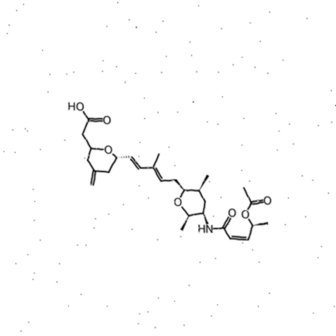 C=C1CC(CC(=O)O)O[C@H](/C=C/C(C)=C/C[C@@H]2O[C@H](C)[C@H](NC(=O)/C=C\[C@H](C)OC(C)=O)C[C@@H]2C)C1